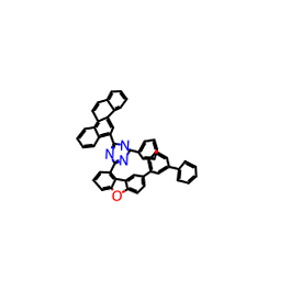 c1ccc(-c2cccc(-c3ccc4oc5cccc(-c6nc(-c7ccccc7)nc(-c7cc8c9ccccc9ccc8c8ccccc78)n6)c5c4c3)c2)cc1